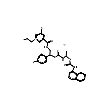 CCC[n+]1cc(Br)cc(C(=O)NCC(OC(=O)NC(C)OC(=O)Nc2cccc3ccccc23)c2ccc(Br)cc2)c1.[Cl-]